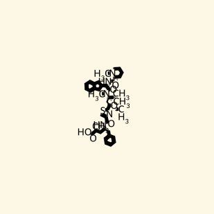 CCO[C@H](C[C@H](C(C)C)N(C)C(=O)[C@@H](NC(=O)[C@H]1CCCCN1C)C1Cc2ccccc2C1)c1nc(C(=O)N[C@@H](Cc2ccccc2)C[C@H](C)C(=O)O)cs1